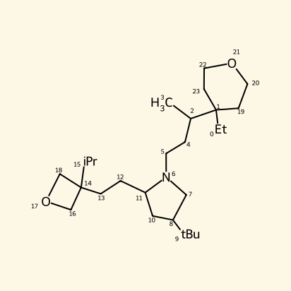 CCC1(C(C)CCN2CC(C(C)(C)C)CC2CCC2(C(C)C)COC2)CCOCC1